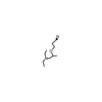 CCN(CC)CC(C)OCCC#N